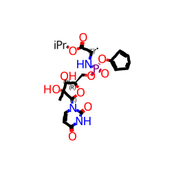 CC(C)OC(=O)[C@H](C)NP(=O)(OC[C@H]1O[C@@H](n2ccc(=O)[nH]c2=O)C(C)(O)[C@@H]1O)Oc1ccccc1